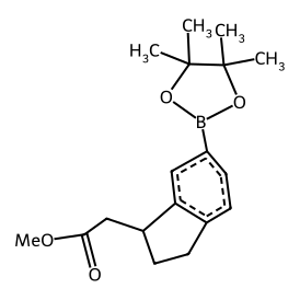 COC(=O)CC1CCc2ccc(B3OC(C)(C)C(C)(C)O3)cc21